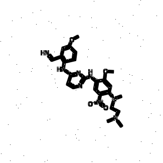 COc1ccc(Nc2ccnc(Nc3cc([N+](=O)[O-])c(N(C)CCN(C)C)cc3OC)n2)c(C=N)c1